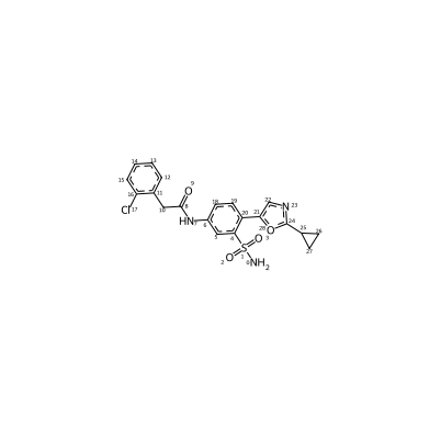 NS(=O)(=O)c1cc(NC(=O)Cc2ccccc2Cl)ccc1-c1cnc(C2CC2)o1